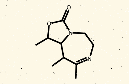 CC1=NCCN2C(=O)OC(C)C2C1C